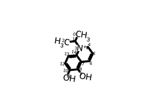 CC(C)[n+]1cccc2c(O)c(O)ccc21